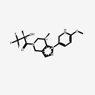 COC1=CC=C(n2ncc3c2[C@H](C)CN(C(=O)[C@@](C)(O)C(F)(F)F)C3)CN1